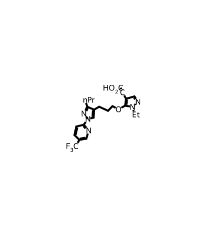 CCCc1nn(-c2ccc(C(F)(F)F)cn2)cc1CCCOc1c(CC(=O)O)cnn1CC